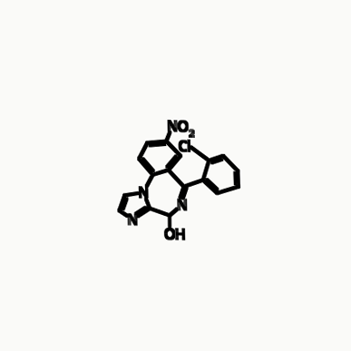 O=[N+]([O-])c1ccc2c(c1)C(c1ccccc1Cl)=NC(O)c1nccn1-2